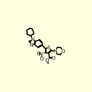 COC(=O)c1c(N2CCOCC2)sc(-c2ccc3c(c2)ncn3C2CCCCC2)c1[N+](=O)[O-]